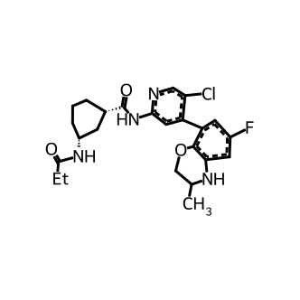 CCC(=O)N[C@@H]1CCC[C@H](C(=O)Nc2cc(-c3cc(F)cc4c3OCC(C)N4)c(Cl)cn2)C1